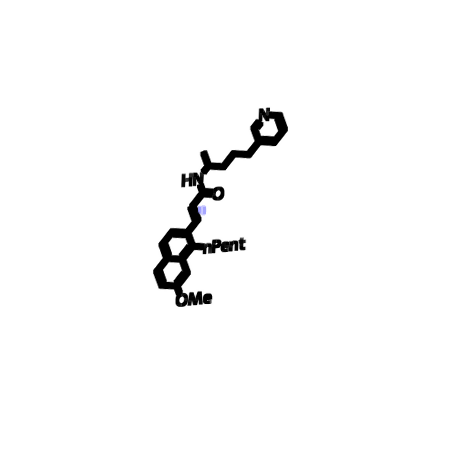 CCCCCc1c(/C=C/C(=O)NC(C)CCCc2cccnc2)ccc2ccc(OC)cc12